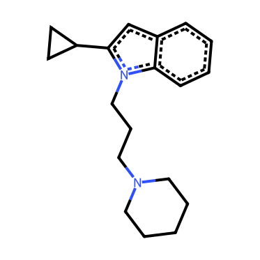 c1ccc2c(c1)cc(C1CC1)n2CCCN1CCCCC1